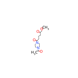 COCC(=O)CCCC(=O)N1CCN(C(C)=O)CC1